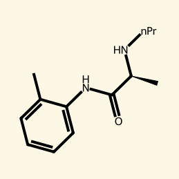 CCCN[C@@H](C)C(=O)Nc1ccccc1C